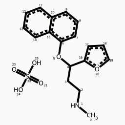 CNCCC(Oc1cccc2ccccc12)c1ccco1.O=S(=O)(O)O